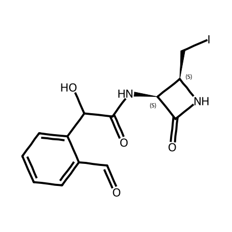 O=Cc1ccccc1C(O)C(=O)N[C@@H]1C(=O)N[C@@H]1CI